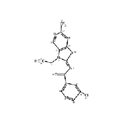 O=C(O)Cn1c(=NC(=O)c2cccc(Cl)c2)sc2cc(C(F)(F)F)ccc21